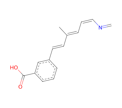 C=N\C=C/C=C(C)/C=C/c1cccc(C(=O)O)c1